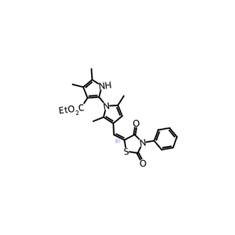 CCOC(=O)c1c(-n2c(C)cc(/C=C3/SC(=O)N(c4ccccc4)C3=O)c2C)[nH]c(C)c1C